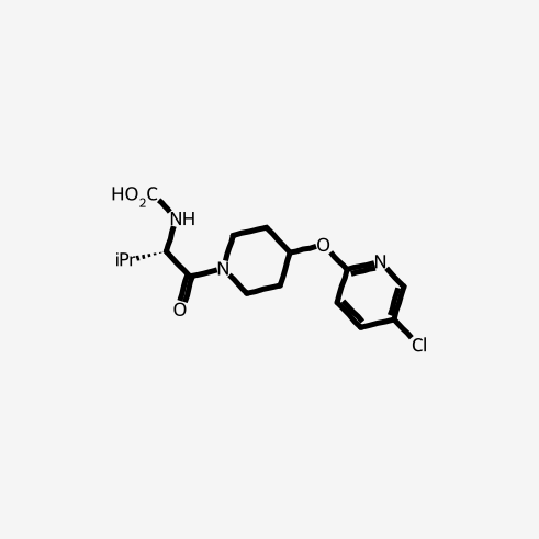 CC(C)[C@H](NC(=O)O)C(=O)N1CCC(Oc2ccc(Cl)cn2)CC1